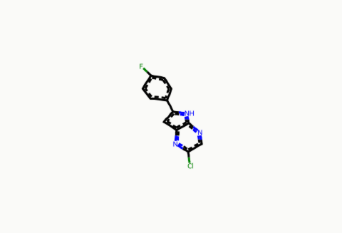 Fc1ccc(-c2cc3nc(Cl)cnc3[nH]2)cc1